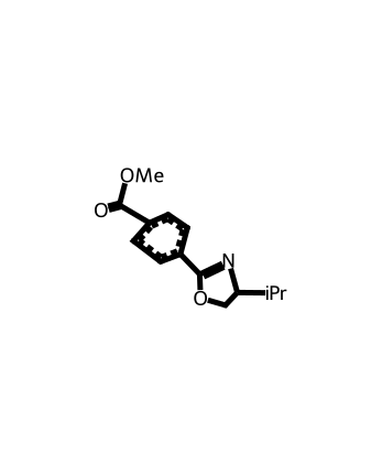 COC(=O)c1ccc(C2=NC(C(C)C)CO2)cc1